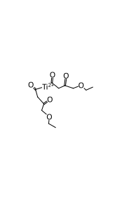 CCOCC(=O)C[C](=O)[Ti+2][C](=O)CC(=O)COCC